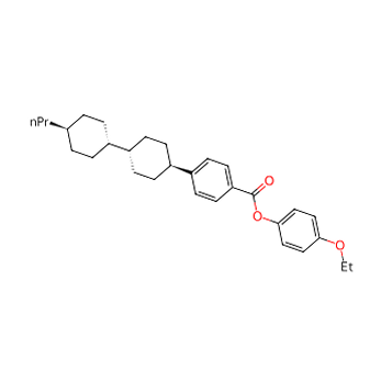 CCC[C@H]1CC[C@H]([C@H]2CC[C@H](c3ccc(C(=O)Oc4ccc(OCC)cc4)cc3)CC2)CC1